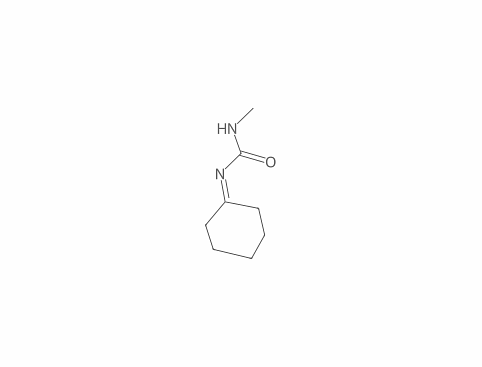 CNC(=O)N=C1CCCCC1